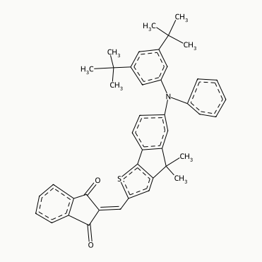 CC(C)(C)c1cc(N(c2ccccc2)c2ccc3c(c2)C(C)(C)c2cc(C=C4C(=O)c5ccccc5C4=O)sc2-3)cc(C(C)(C)C)c1